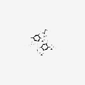 CN1C(CCl)Nc2cc(Cl)c(S(N)(=O)=O)cc2S1(=O)=O.NS(=O)(=O)c1cc2c(cc1Cl)NCNS2(=O)=O